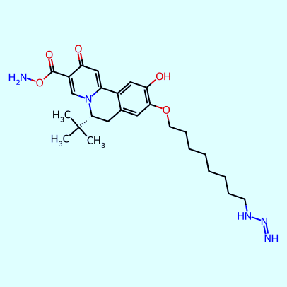 CC(C)(C)[C@H]1Cc2cc(OCCCCCCCCNN=N)c(O)cc2-c2cc(=O)c(C(=O)ON)cn21